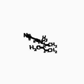 C=CC.C=CC=C.N#CC#N